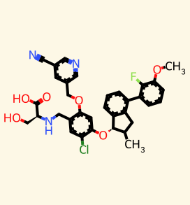 COc1cccc(-c2cccc3c2CC(C)[C@@H]3Oc2cc(OCc3cncc(C#N)c3)c(CN[C@@H](CO)C(=O)O)cc2Cl)c1F